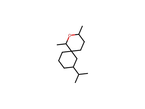 CC1CCC2(CCCC(C(C)C)C2)C(C)O1